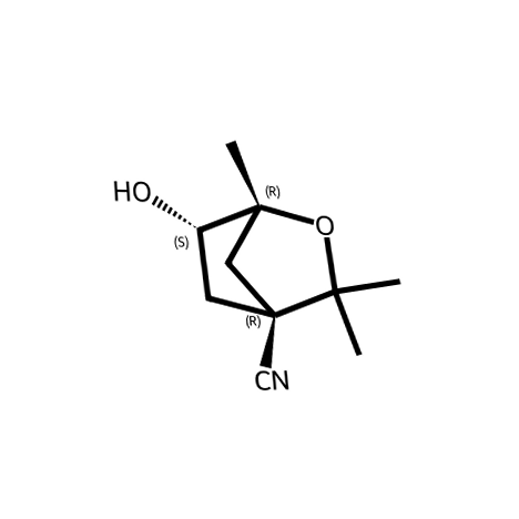 CC1(C)O[C@]2(C)C[C@@]1(C#N)C[C@@H]2O